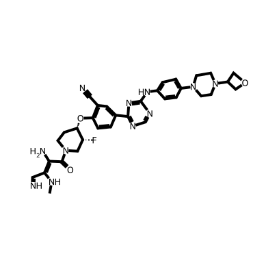 CN/C(C=N)=C(/N)C(=O)N1CC[C@H](Oc2ccc(-c3ncnc(Nc4ccc(N5CCN(C6COC6)CC5)cc4)n3)cc2C#N)[C@H](F)C1